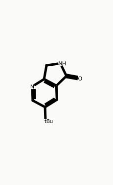 CC(C)(C)c1cnc2c(c1)C(=O)NC2